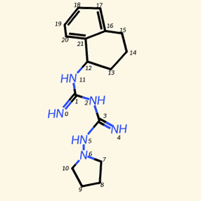 N=C(NC(=N)NN1CCCC1)NC1CCCc2ccccc21